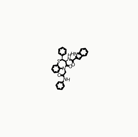 O=C(CN1C(=O)[C@H](NC(=O)c2cc3ccccc3[nH]2)[C@H](c2ccccc2)Sc2ccccc21)Nc1ccccc1